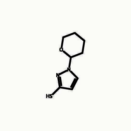 Sc1ccn(C2CCCCO2)n1